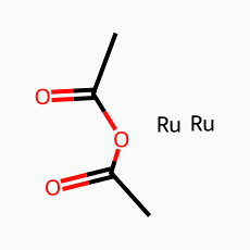 CC(=O)OC(C)=O.[Ru].[Ru]